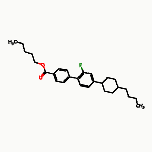 CCCCCOC(=O)c1ccc(-c2ccc(C3CCC(CCCC)CC3)cc2F)cc1